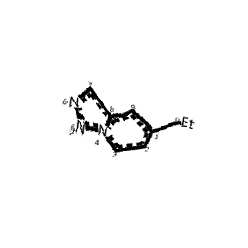 CCc1ccn2nncc2c1